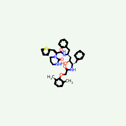 Cc1cccc(C)c1OCC(=O)N[C@@H](Cc1ccccc1)[C@@H](O)C[C@H](Cc1ccccc1)NC(=O)C(=Cc1cccs1)N1CCCNC1=O